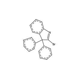 BrC1=Nc2ccccc2C1(c1ccccc1)c1ccccc1